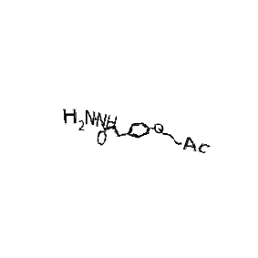 CC(=O)CCCOc1ccc(CCC(=O)NN)cc1